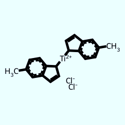 Cc1ccc2c(c1)C=C[CH]2[Ti+2][CH]1C=Cc2cc(C)ccc21.[Cl-].[Cl-]